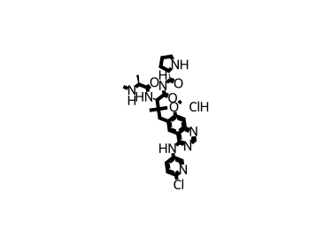 CN[C@@H](C)C(=O)N[C@H](C(=O)NC(=O)[C@@H]1CCCN1)C(C)(C)Cc1cc2c(Nc3ccc(Cl)nc3)ncnc2cc1OC.Cl